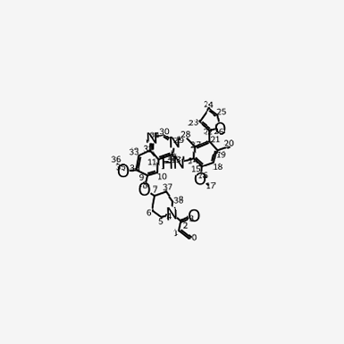 C=CC(=O)N1CCC(Oc2cc3c(Nc4c(OC)cc(C)c(-c5ccco5)c4C)ncnc3cc2OC)CC1